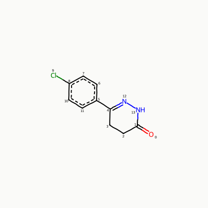 O=C1CCC(c2ccc(Cl)cc2)=NN1